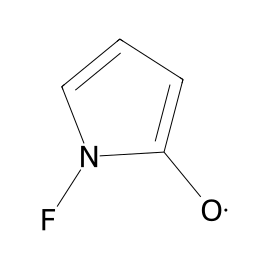 [O]c1cccn1F